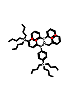 CCCC[Si](CCCC)(CCCC)c1ccc(P(c2ccc([Si](CCCC)(CCCC)CCCC)cc2)N(Cc2ccccc2)P(c2ccccc2)c2ccccc2C)cc1